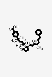 C[C@@H](CCCc1ccccc1)[C@H](O)/C=C/[C@H]1CCC(=O)N1C(C)(C)CCC(C)(C)c1ccc(C(=O)O)cc1